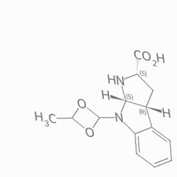 CC1OC(N2c3ccccc3[C@H]3C[C@@H](C(=O)O)N[C@H]32)O1